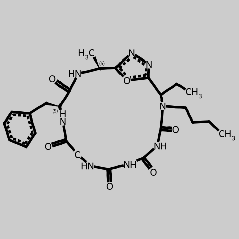 CCCCN1C(=O)NC(=O)NC(=O)NCC(=O)N[C@@H](Cc2ccccc2)C(=O)N[C@@H](C)c2nnc(o2)C1CC